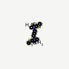 CC1(C)c2ccccc2N(c2ccc3cc4cc(N5c6ccccc6C(C)(C)c6cc7c(cc65)sc5ccccc57)ccc4cc3c2)c2cc3sc4ccccc4c3cc21